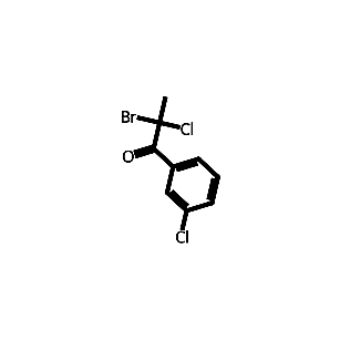 CC(Cl)(Br)C(=O)c1cccc(Cl)c1